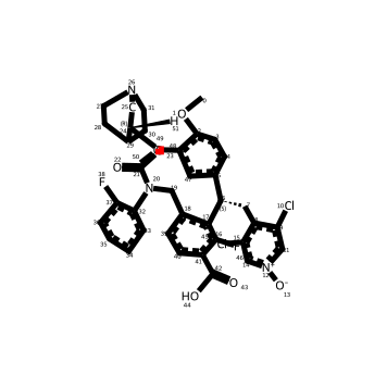 COc1ccc([C@H](Cc2c(Cl)c[n+]([O-])cc2Cl)c2c(CN(C(=O)O[C@H]3CN4CCC3CC4)c3ccccc3F)ccc(C(=O)O)c2F)cc1OC